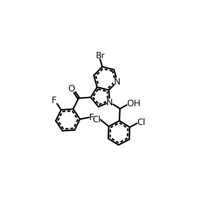 O=C(c1c(F)cccc1F)c1cn(C(O)c2c(Cl)cccc2Cl)c2ncc(Br)cc12